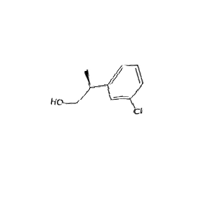 C[C@H](CO)c1cccc(Cl)c1